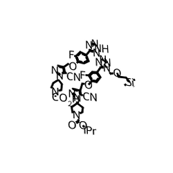 CC(C)OC(=O)N1CCC(n2ncc(COc3ccc(-c4nnnn4COCC[Si](C)(C)C)cc3F)c2C#N)CC1.N#Cc1c(COc2ccc(-c3nn[nH]n3)cc2F)cnn1C1CCN(C(=O)O)CC1